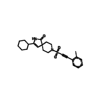 Cc1ccccc1C#CS(=O)(=O)N1CCC2(C=C(C3CCCCC3)NC2=O)CC1